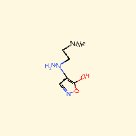 CNCCN(N)c1cnoc1O